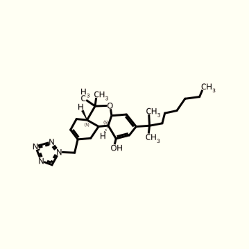 CCCCCCC(C)(C)C1=CC2OC(C)(C)[C@H]3CC=C(Cn4cnnn4)CC3[C@@H]2C(O)=C1